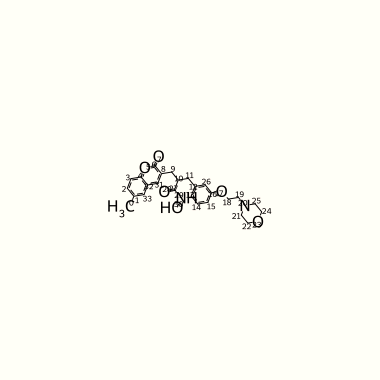 Cc1ccc2oc(=O)c(CC(Cc3cccc(OCCN4CCOCC4)c3)C(=O)NO)cc2c1